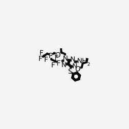 CCCCOc1ccccc1Sc1nc(N)nc2c1ncn2CC(C)OCP(CC(F)(F)F)CC(F)(F)F